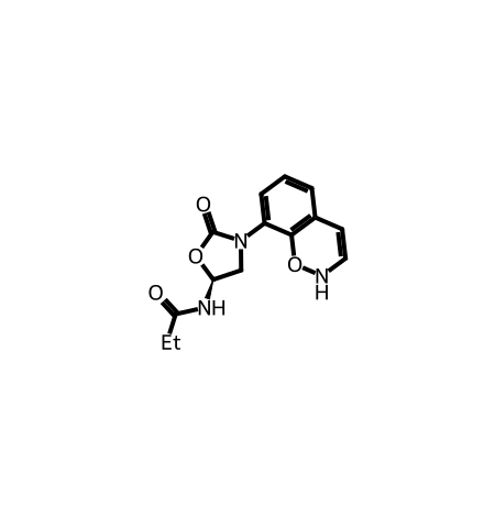 CCC(=O)N[C@@H]1CN(c2cccc3c2ONC=C3)C(=O)O1